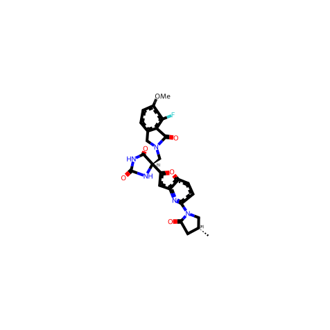 COc1ccc2c(c1F)C(=O)N(C[C@@]1(c3cc4nc(N5C[C@H](C)CC5=O)ccc4o3)NC(=O)NC1=O)C2